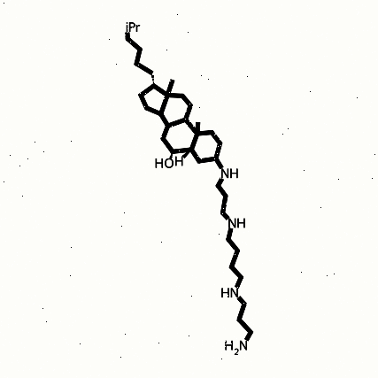 CC(C)CCCC[C@H]1CCC2C3C[C@@H](O)[C@H]4CC(NCCCNCCCCNCCCN)CCC4(C)C3CCC21C